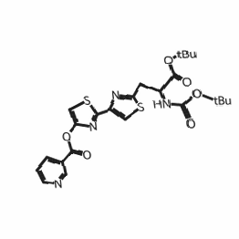 CC(C)(C)OC(=O)NC(Cc1nc(-c2nc(OC(=O)c3cccnc3)cs2)cs1)C(=O)OC(C)(C)C